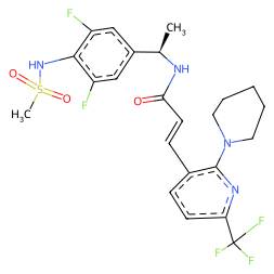 C[C@@H](NC(=O)C=Cc1ccc(C(F)(F)F)nc1N1CCCCC1)c1cc(F)c(NS(C)(=O)=O)c(F)c1